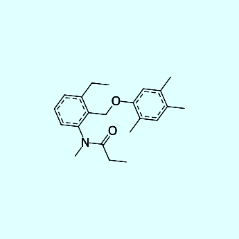 CCC(=O)N(C)c1cccc(CC)c1COc1cc(C)c(C)cc1C